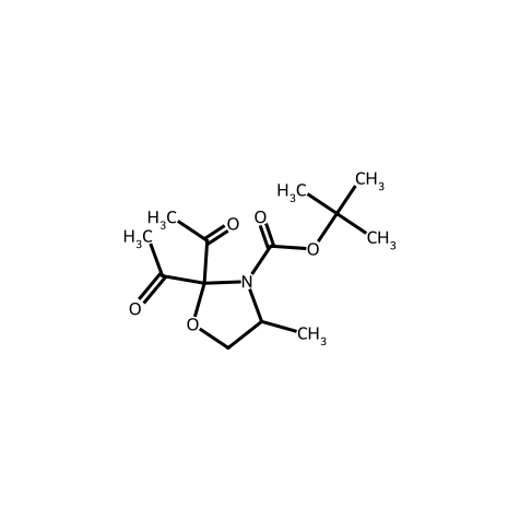 CC(=O)C1(C(C)=O)OCC(C)N1C(=O)OC(C)(C)C